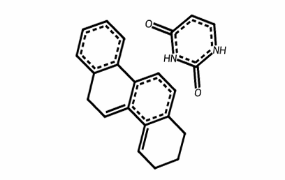 C1=c2c(ccc3c2=CCc2ccccc2-3)CCC1.O=c1cc[nH]c(=O)[nH]1